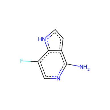 Nc1ncc(F)c2[nH]ccc12